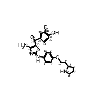 Nc1nc(Nc2ccc(OCCC3CCCN3)cc2)sc1C(=O)c1ccc(O)c(F)c1